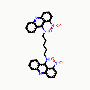 O=[N+]([O-])c1cccc2nc3ccccc3c(NCCCCCNc3c4ccccc4nc4cccc([N+](=O)[O-])c34)c12